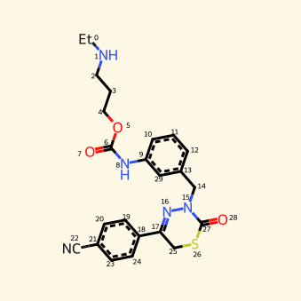 CCNCCCOC(=O)Nc1cccc(CN2N=C(c3ccc(C#N)cc3)CSC2=O)c1